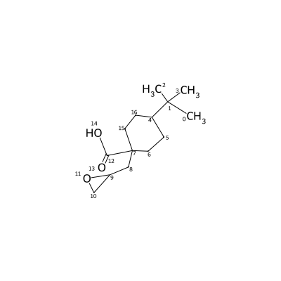 CC(C)(C)C1CCC(CC2CO2)(C(=O)O)CC1